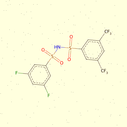 O=S(=O)(NS(=O)(=O)c1cc(C(F)(F)F)cc(C(F)(F)F)c1)c1cc(F)cc(F)c1